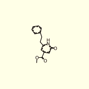 COC(=O)c1cc(CCc2ccccc2)[nH]c(=O)c1